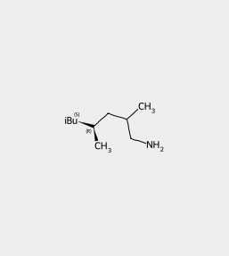 CC[C@H](C)[C@H](C)CC(C)CN